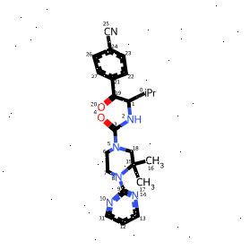 CC(C)C(NC(=O)N1CCN(c2ncccn2)C(C)(C)C1)C(=O)c1ccc(C#N)cc1